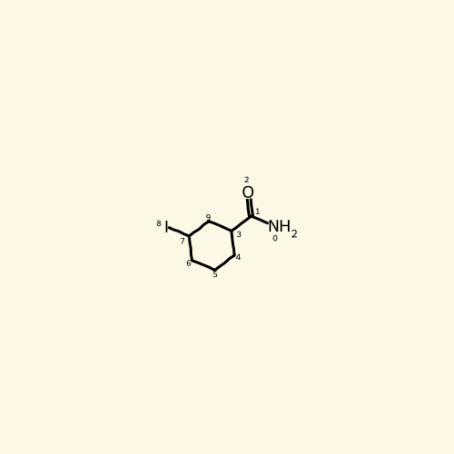 NC(=O)C1CCCC(I)C1